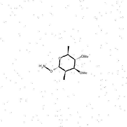 CO[C@@H]1[C@@H](OC)[C@@H](C)[C@H](ON)O[C@H]1C